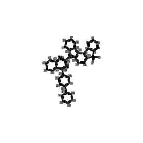 CC1(C)c2ccccc2-c2c1ccc1c2c2ccccc2n1-c1nc(-c2ccc(-c3ccccc3)cc2)c2ccccc2n1